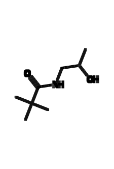 CC(O)CNC(=O)C(C)(C)C